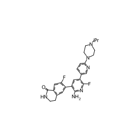 CC(C)N1CCN(c2ccc(-c3cc(-c4cc5c(cc4F)C(=O)NCC5)c(N)nc3F)cn2)CC1